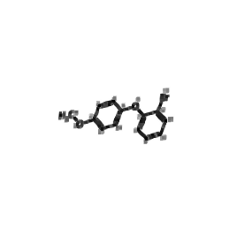 COc1ccc(Oc2ccccc2Br)cc1